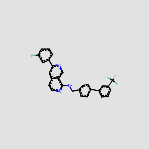 Fc1cccc(-c2cc3ccnc(NCc4ccc(-c5cccc(C(F)(F)F)c5)cc4)c3cn2)c1